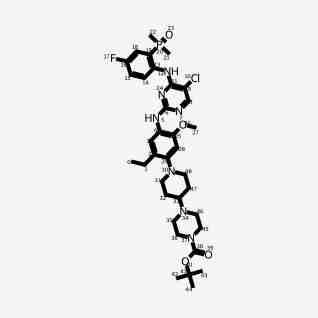 CCc1cc(Nc2ncc(Cl)c(Nc3ccc(F)cc3P(C)(C)=O)n2)c(OC)cc1N1CCC(N2CCN(C(=O)OC(C)(C)C)CC2)CC1